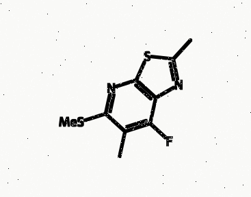 CSc1nc2sc(C)nc2c(F)c1C